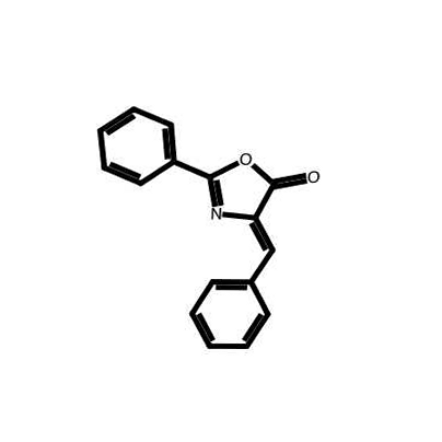 O=C1OC(c2ccccc2)=NC1=Cc1ccccc1